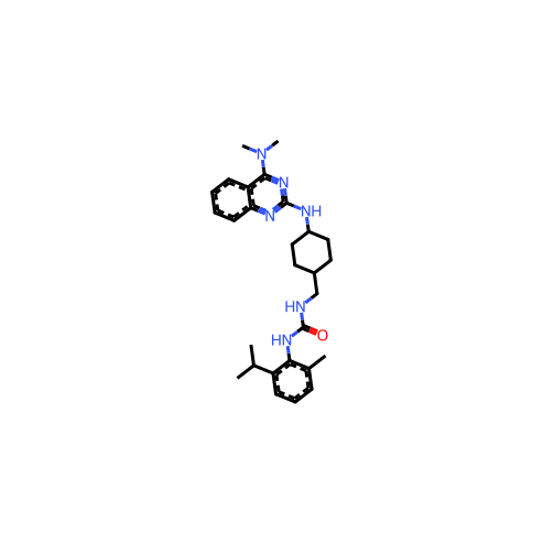 Cc1cccc(C(C)C)c1NC(=O)NCC1CCC(Nc2nc(N(C)C)c3ccccc3n2)CC1